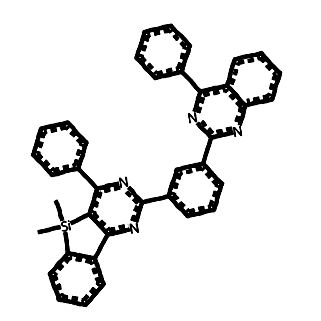 C[Si]1(C)c2ccccc2-c2nc(-c3cccc(-c4nc(-c5ccccc5)c5ccccc5n4)c3)nc(-c3ccccc3)c21